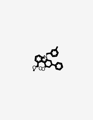 COC(=O)c1cccc2c1c1c(n2Cc2cccc(C)c2)CC(c2ccccc2)CC1=O